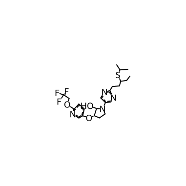 CCC(CCc1ncc(N2CC[C@@H](Oc3ccc(OCC(F)(F)F)nc3)C2O)cn1)SC(C)C